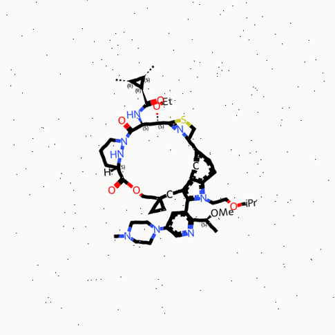 CCO[C@@H]1C2=NC(CS2)c2ccc3c(c2)c(c(-c2cc(N4CCN(C)CC4)cnc2[C@H](C)OC)n3CCOC(C)C)CC2(CC2)COC(=O)[C@@H]2CCCN(N2)C(=O)[C@H]1NC(=O)[C@H]1[C@H](C)[C@@H]1C